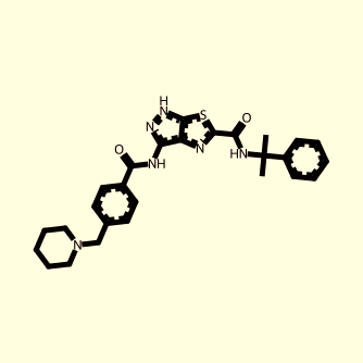 CC(C)(NC(=O)c1nc2c(NC(=O)c3ccc(CN4CCCCC4)cc3)n[nH]c2s1)c1ccccc1